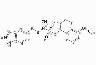 COc1cccc2c1CCCC2CS(=O)(=O)N(C)CCc1ccc2[nH]ncc2c1